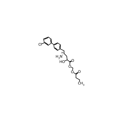 CCCC(=O)OCOC(=O)C(O)C[C@H](N)Cc1ccc(-c2cccc(Cl)c2)cc1